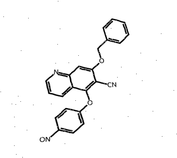 N#Cc1c(OCc2ccccc2)cc2ncccc2c1Oc1ccc(N=O)cc1